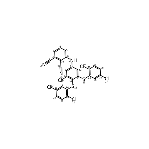 N#Cc1cccc(Nc2cc(Cl)c(Sc3cc(Cl)ccc3Cl)c(Sc3cc(Cl)ccc3Cl)c2)c1C#N